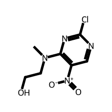 CN(CCO)c1nc(Cl)ncc1[N+](=O)[O-]